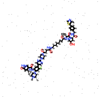 Cc1ncsc1-c1ccc(CNC(=O)[C@@H]2C[C@@H](O)CN2C(=O)C(NC(=O)CCCCCCCNC(=O)CCC(=O)N2CCN(c3ncc(-c4cc(NC(=O)c5c[nH]c(=O)cc5C(F)(F)F)c(N5C[C@@H](C)N(C)[C@@H](C)C5)cc4F)cn3)CC2)C(C)(C)C)cc1